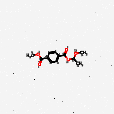 COC(=O)c1ccc(C(=O)OC(C)OC)cc1